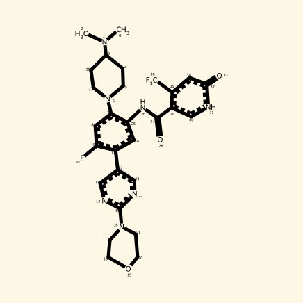 CN(C)C1CCN(c2cc(F)c(-c3cnc(N4CCOCC4)nc3)cc2NC(=O)c2c[nH]c(=O)cc2C(F)(F)F)CC1